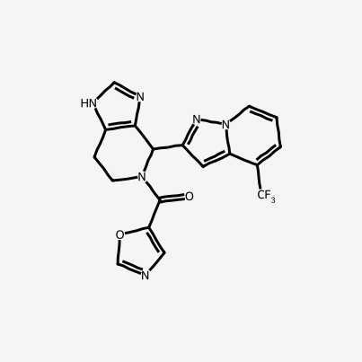 O=C(c1cnco1)N1CCc2[nH]cnc2C1c1cc2c(C(F)(F)F)cccn2n1